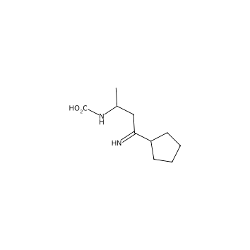 CC(CC(=N)C1CCCC1)NC(=O)O